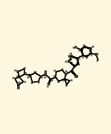 COc1cc(-c2cc(C(=O)N3CCC(C(=O)N[C@H]4CCN([C@@H]5COC56CNC6)C4)CC34CC4)n[nH]2)c(F)cn1